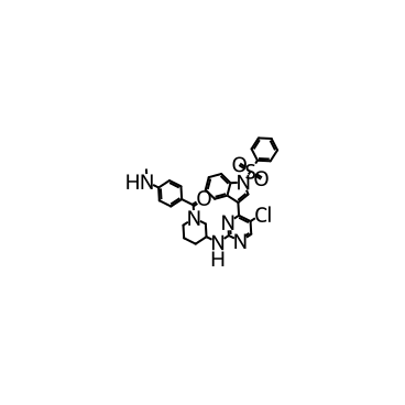 CNc1ccc(C(=O)N2CCCC(Nc3ncc(Cl)c(-c4cn(S(=O)(=O)c5ccccc5)c5ccccc45)n3)C2)cc1